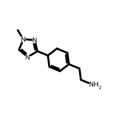 Cn1cnc(C2C=CC(CCN)=CC2)n1